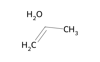 C=CC.O